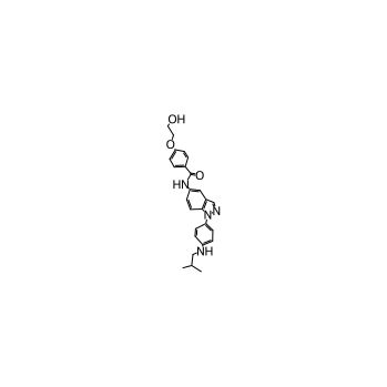 CC(C)CNc1ccc(-n2ncc3cc(NC(=O)c4ccc(OCCO)cc4)ccc32)cc1